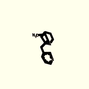 CC1C2CCN(CC2)C1Cc1cccnc1